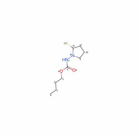 CCCCOC(=O)NN1CCCC1F